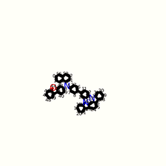 c1ccc2c(N(c3ccc(-c4ccc5c(c4)n4c6ccccc6c6ccc7c8ccccc8n5c7c64)cc3)c3ccc4c(c3)oc3ccccc34)cccc2c1